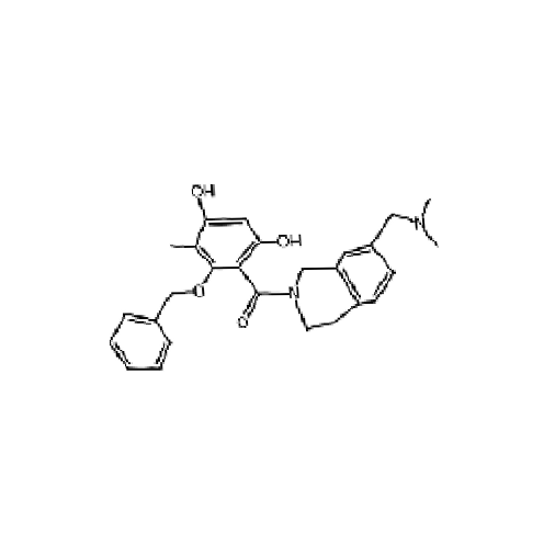 Cc1c(O)cc(O)c(C(=O)N2CCc3ccc(CN(C)C)cc3C2)c1OCc1ccccc1